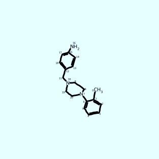 Cc1ccccc1N1CCN(Cc2ccc(N)cc2)CC1